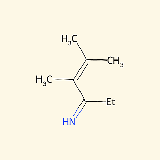 CCC(=N)C(C)=C(C)C